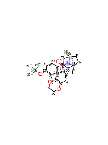 O=C(c1ccc2c(c1)OCCO2)N1[C@@H]2CC[C@H]1C[C@@H](c1ccc(OC(F)(F)F)cc1)C2